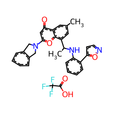 Cc1cc(C(C)Nc2ccccc2-c2ccno2)c2oc(N3Cc4ccccc4C3)cc(=O)c2c1.O=C(O)C(F)(F)F